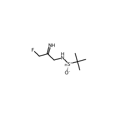 CC(C)(C)[S@+]([O-])NCC(=N)CF